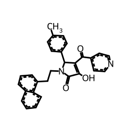 Cc1ccc(C2C(C(=O)c3ccncc3)=C(O)C(=O)N2CCc2cccc3ccccc23)cc1